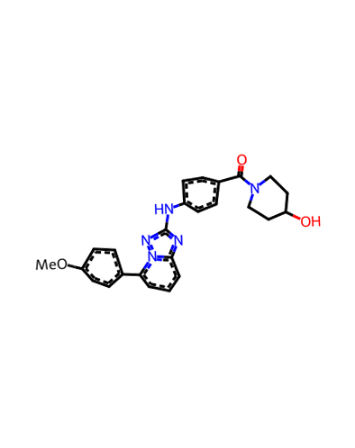 COc1ccc(-c2cccc3nc(Nc4ccc(C(=O)N5CCC(O)CC5)cc4)nn23)cc1